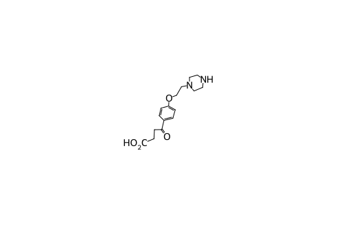 O=C(O)CCC(=O)c1ccc(OCCN2CCNCC2)cc1